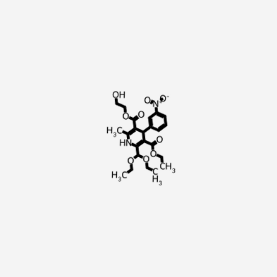 CCOC(=O)C1=C(C(OCC)OCC)NC(C)=C(C(=O)OCCO)C1c1cccc([N+](=O)[O-])c1